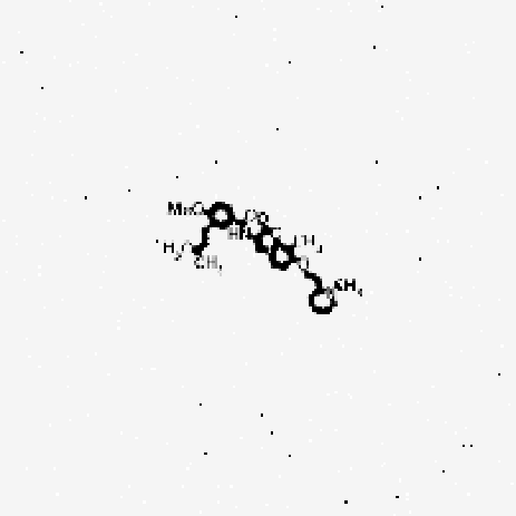 COc1ccc(C(=O)Nc2cc3ccc(OCCC4CCCCN4C)c(C)c3oc2=O)cc1CC=C(C)C